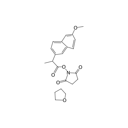 C1CCOC1.COc1ccc2cc(C(C)C(=O)ON3C(=O)CCC3=O)ccc2c1